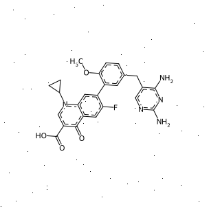 COc1ccc(Cc2cnc(N)nc2N)cc1-c1cc2c(cc1F)c(=O)c(C(=O)O)cn2C1CC1